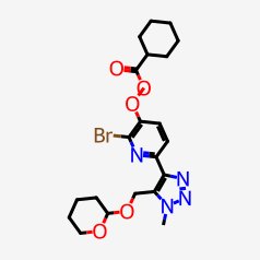 Cn1nnc(-c2ccc(OOC(=O)C3CCCCC3)c(Br)n2)c1COC1CCCCO1